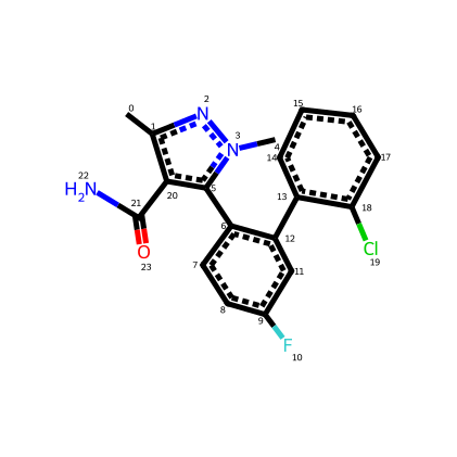 Cc1nn(C)c(-c2ccc(F)cc2-c2ccccc2Cl)c1C(N)=O